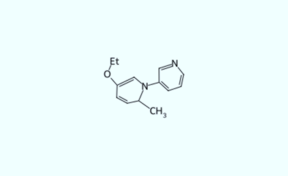 CCOC1=CN(c2cccnc2)C(C)C=C1